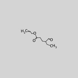 C=CCOC(=O)CCC(C=O)CC